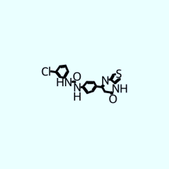 O=C1CC(c2ccc(NC(=O)Nc3cccc(Cl)c3)cc2)=Nc2cscc2N1